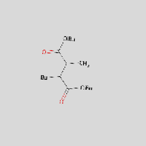 CCC(C)C(C(=O)OCC(C)C)C(C)C(=O)OCC(C)C